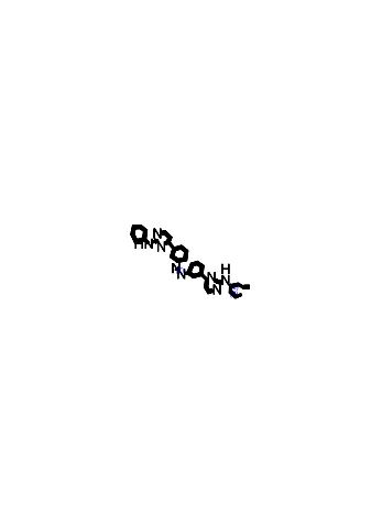 C=C/C=C(\C=C/C)Nc1nccc(-c2cccc(/N=N\c3cccc(-c4ccnc(Nc5ccccc5)n4)c3)c2)n1